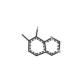 Cc1ccc2cncnc2c1I